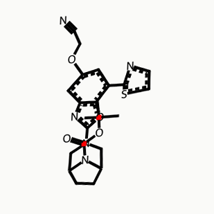 CC(C)(C)OC(=O)N1C2CCC1CN(c1nc3cc(OCC#N)cc(-c4nccs4)c3o1)C2